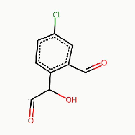 O=[C]C(O)c1ccc(Cl)cc1C=O